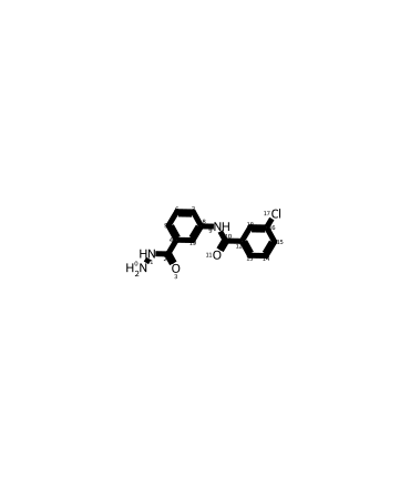 NNC(=O)c1cccc(NC(=O)c2cccc(Cl)c2)c1